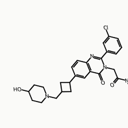 CC(C)NC(=O)Cn1c(-c2cccc(Cl)c2)nc2ccc(C3CC(CN4CCC(O)CC4)C3)cc2c1=O